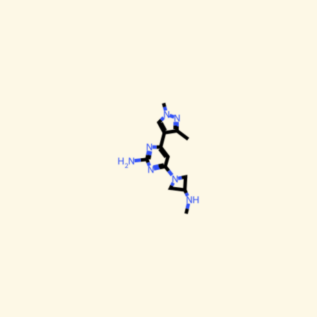 CNC1CN(c2cc(-c3cn(C)nc3C)nc(N)n2)C1